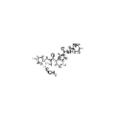 C=C=CCC1(CNC(=O)c2cccc3nc(C(=O)NCc4ccccn4)cn23)CC2CC2C1